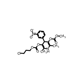 COC(=O)OC1=C(C)NC(C)=C(OC(=O)OCCCCl)C1c1cccc([N+](=O)[O-])c1